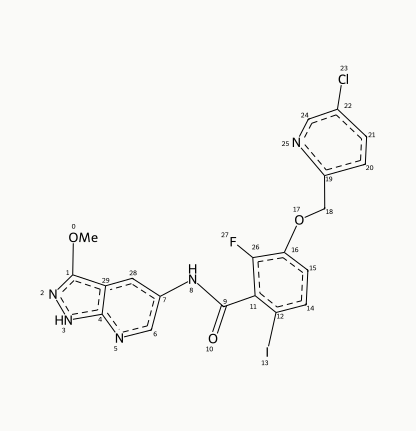 COc1n[nH]c2ncc(NC(=O)c3c(I)ccc(OCc4ccc(Cl)cn4)c3F)cc12